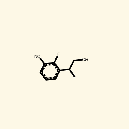 [CH2]C(CO)c1cccc(C#N)c1F